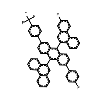 Fc1ccc(-c2ccc3c(-c4cc5cc(F)ccc5c5ccccc45)c4cc(-c5ccc(C(F)(F)F)cc5)ccc4c(-c4cc5ccccc5c5ccccc45)c3c2)cc1